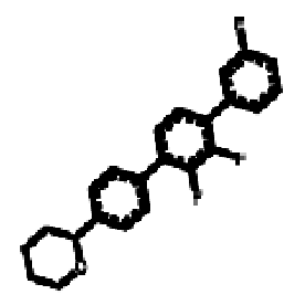 Fc1cccc(-c2ccc(-c3ccc(C4CCCCO4)cc3)c(F)c2F)c1